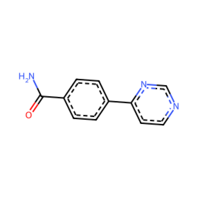 NC(=O)c1ccc(-c2ccncn2)cc1